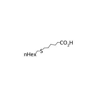 CCCCCCCSCCCCCC(=O)O